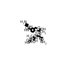 CC1(C)[C@H](NC(=O)/C(=N\O[C@](C)(C(=O)O)[C@H]2CCc3cc(C(=N)N[C@]4(C)C[C@H](N)C4)ccc3O2)c2csc(N)n2)C(=O)N1OS(=O)(=O)O